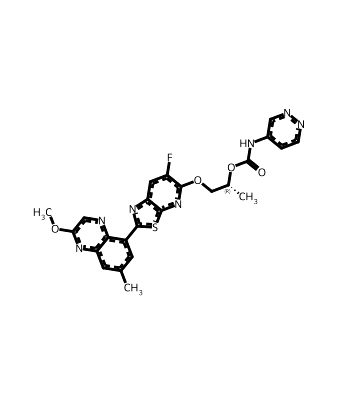 COc1cnc2c(-c3nc4cc(F)c(OC[C@@H](C)OC(=O)Nc5ccnnc5)nc4s3)cc(C)cc2n1